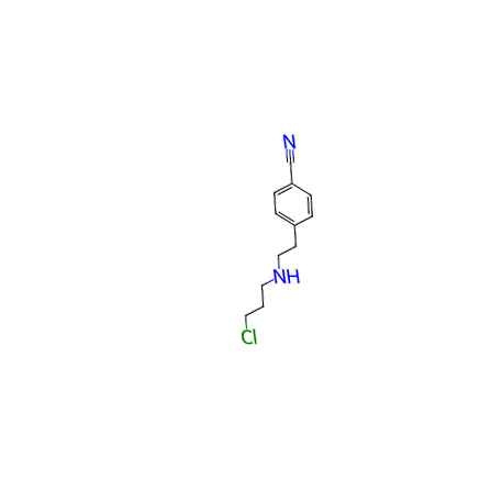 N#Cc1ccc(CCNCCCCl)cc1